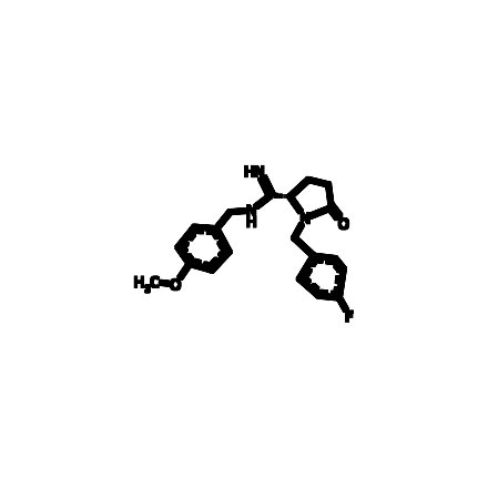 COc1ccc(CNC(=N)[C@@H]2CCC(=O)N2Cc2ccc(F)cc2)cc1